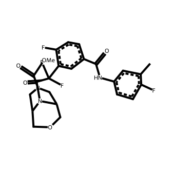 COC(=O)N1CC2COCC(C1)N2C(=O)C(F)(F)c1cc(C(=O)Nc2ccc(F)c(C)c2)ccc1F